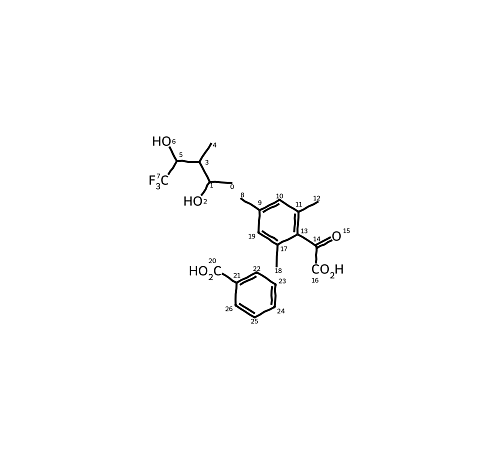 CC(O)C(C)C(O)C(F)(F)F.Cc1cc(C)c(C(=O)C(=O)O)c(C)c1.O=C(O)c1ccccc1